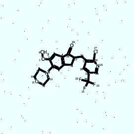 COc1cc2c(cc1N1CCOCC1)CC(Cc1cc(C(F)(F)F)cnc1Cl)C2=O